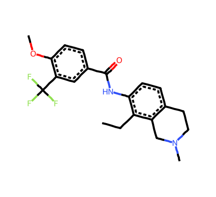 CCc1c(NC(=O)c2ccc(OC)c(C(F)(F)F)c2)ccc2c1CN(C)CC2